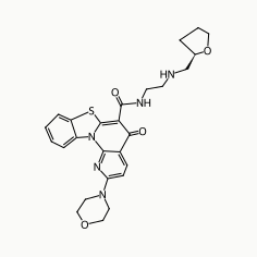 O=C(NCCNC[C@H]1CCCO1)c1c(=O)c2ccc(N3CCOCC3)nc2n2c1sc1ccccc12